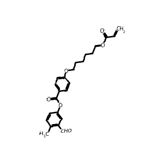 C=CC(=O)OCCCCCCOc1ccc(C(=O)Oc2ccc(C)c(C=O)c2)cc1